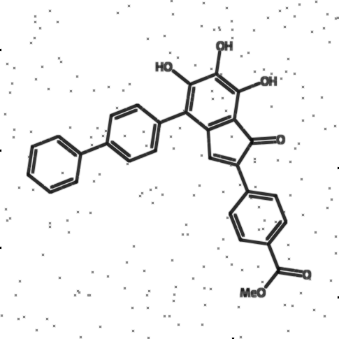 COC(=O)c1ccc(C2=Cc3c(c(O)c(O)c(O)c3-c3ccc(-c4ccccc4)cc3)C2=O)cc1